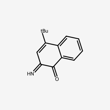 CC(C)(C)C1=CC(=N)C(=O)c2ccccc21